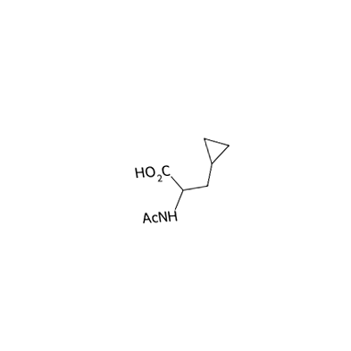 CC(=O)NC(CC1CC1)C(=O)O